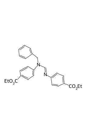 CCOC(=O)c1ccc(N=CN(Cc2ccccc2)c2ccc(C(=O)OCC)cc2)cc1